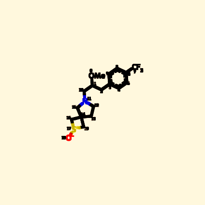 COC(Cc1ccc(C(F)(F)F)cc1)CN1CCC2(C1)C[S+]([O-])C2